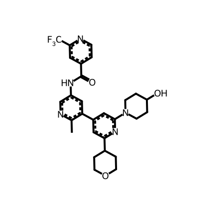 Cc1ncc(NC(=O)c2ccnc(C(F)(F)F)c2)cc1-c1cc(C2CCOCC2)nc(N2CCC(O)CC2)c1